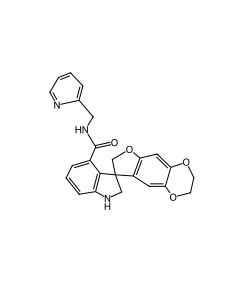 O=C(NCc1ccccn1)c1cccc2c1C1(CN2)COc2cc3c(cc21)OCCO3